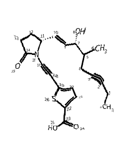 CCC#CCC(C)[C@@H](O)/C=C/[C@H]1CCC(=O)N1C#Cc1ccc(C(=O)O)s1